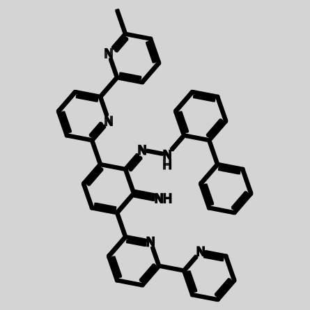 Cc1cccc(-c2cccc(C3=CC=C(c4cccc(-c5ccccn5)n4)C(=N)/C3=N\Nc3ccccc3-c3ccccc3)n2)n1